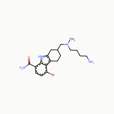 CN(CCCCN)CC1CCc2c([nH]c3c(C(N)=O)ccc(Br)c23)C1